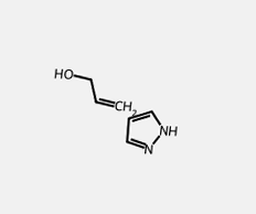 C=CCO.c1cn[nH]c1